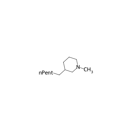 CCCCCCC1CCCN(C)C1